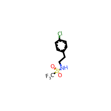 O=S(=O)(NCCc1ccc(Cl)cc1)C(F)(F)F